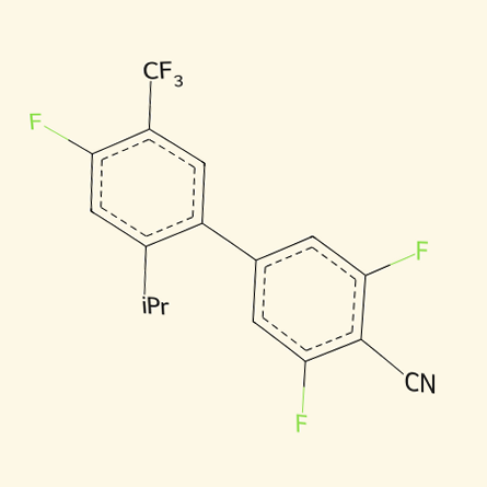 CC(C)c1cc(F)c(C(F)(F)F)cc1-c1cc(F)c(C#N)c(F)c1